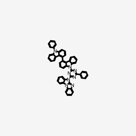 c1ccc(-c2nc(-n3c4ccccc4c4c(-c5cccc6c5c5ccccc5n6-c5ccccc5)cccc43)nc(-n3c4ccccc4n4c5ccccc5nc34)n2)cc1